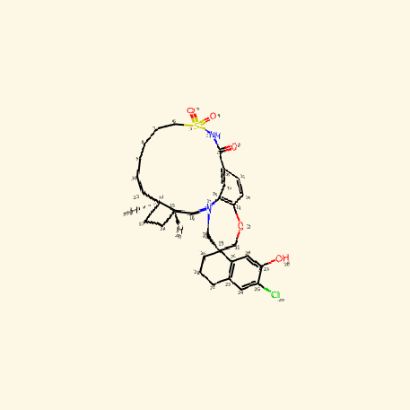 O=C1NS(=O)(=O)CCCCCC[C@@H]2CC[C@H]2CN2C[C@@]3(CCCc4cc(Cl)c(O)cc43)COc3ccc1cc32